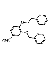 O=Cc1ccc(OCCc2ccccc2)c(OCc2ccccc2)c1